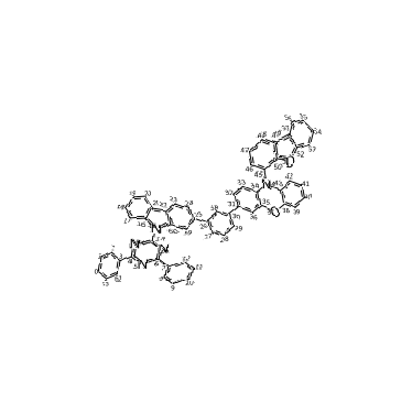 c1ccc(-c2nc(-c3ccccc3)nc(-n3c4ccccc4c4ccc(-c5cccc(-c6ccc7c(c6)Oc6ccccc6N7c6cccc7c6oc6ccccc67)c5)cc43)n2)cc1